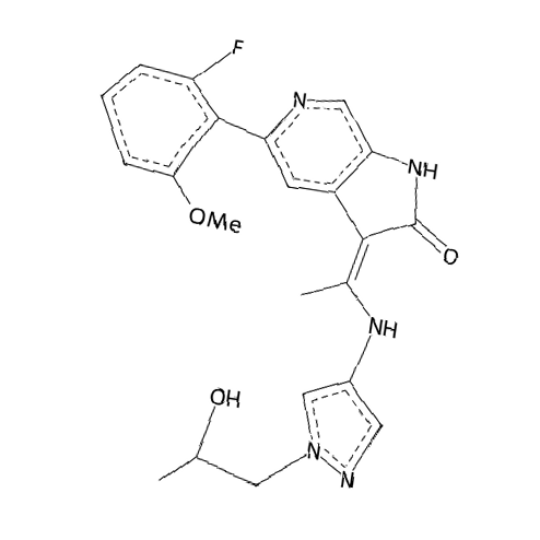 COc1cccc(F)c1-c1cc2c(cn1)NC(=O)/C2=C(/C)Nc1cnn(CC(C)O)c1